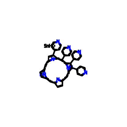 C1=Cc2cc3[nH]c(c(-c4ccncc4)c4nc(cc5ccc(cc1n2)[nH]5)C=C4c1ccncc1)c(-c1ccncc1)c3-c1ccncc1.[SnH2]